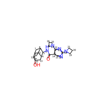 O=C(NC1C2CC3CC1CC(O)(C3)C2)c1cnc(N2CCC2)nc1N1CCC1